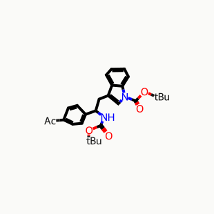 CC(=O)c1ccc(C(Cc2cn(C(=O)OC(C)(C)C)c3ccccc23)NC(=O)OC(C)(C)C)cc1